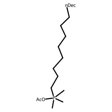 CCCCCCCCCCCCCCCCCCP(C)(C)(C)OC(C)=O